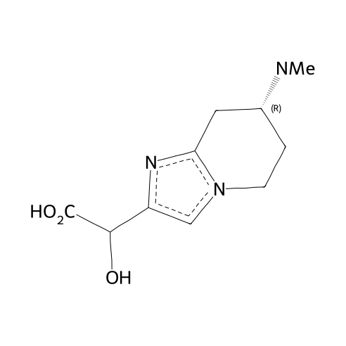 CN[C@@H]1CCn2cc(C(O)C(=O)O)nc2C1